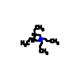 CCC[N+]1(CCC)C[C@@H](CC)[C@H](CC)C1